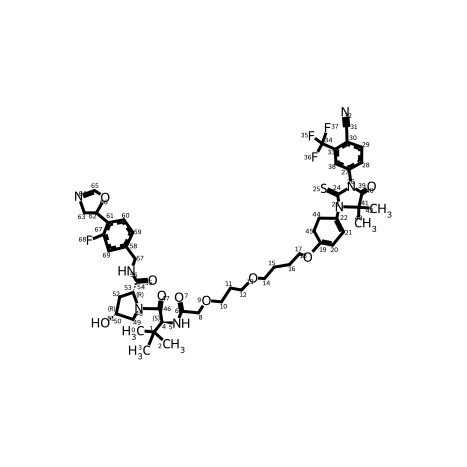 CC(C)(C)[C@H](NC(=O)COCCCOCCCCOC1=CC=C(N2C(=S)N(c3ccc(C#N)c(C(F)(F)F)c3)C(=O)C2(C)C)CC1)C(=O)N1C[C@H](O)C[C@@H]1C(=O)NCc1ccc(C2CN=CO2)c(F)c1